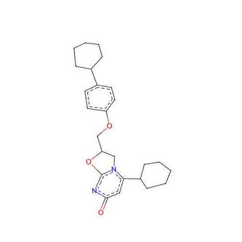 O=c1cc(C2CCCCC2)n2c(n1)OC(COc1ccc(C3CCCCC3)cc1)C2